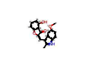 COc1ccc2[nH]c(C)c(/C=C3/Oc4cccc(O)c4C3=O)c2c1